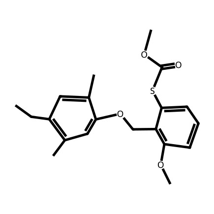 CCc1cc(C)c(OCc2c(OC)cccc2SC(=O)OC)cc1C